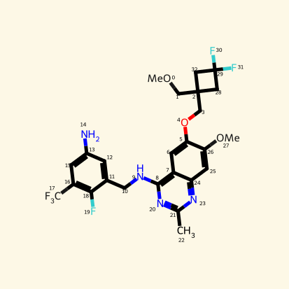 COCC1(COc2cc3c(NCc4cc(N)cc(C(F)(F)F)c4F)nc(C)nc3cc2OC)CC(F)(F)C1